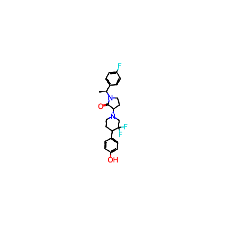 C[C@@H](c1ccc(F)cc1)N1CCC(N2CCC(c3ccc(O)cc3)C(F)(F)C2)C1=O